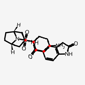 NC1CCC(S(=O)(=O)N2[C@@H]3CC[C@H]2C[C@@H](NC(=O)c2ccc4c(c2)CC(=O)N4)C3)CC1